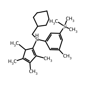 CC1=C(C)C(C)C([SiH](CC2CCCCC2)c2cc(C)cc([Si](C)(C)C)c2)=C1C